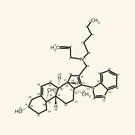 C=CCN(CCCCC)CC1=C(n2cnc3ccccc32)[C@@]2(C)CC[C@H]3[C@@H](CC=C4C[C@@H](O)CC[C@@]43C)[C@@H]2C1